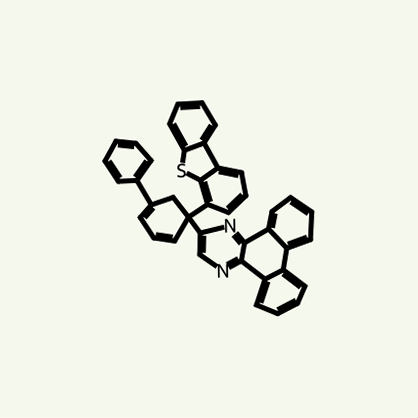 C1=CC(c2cnc3c4ccccc4c4ccccc4c3n2)(c2cccc3c2sc2ccccc23)CC(c2ccccc2)=C1